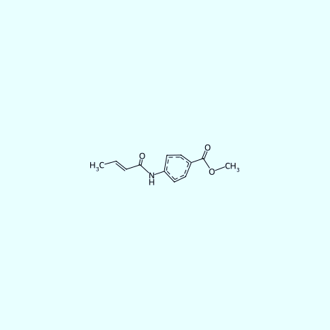 CC=CC(=O)Nc1ccc(C(=O)OC)cc1